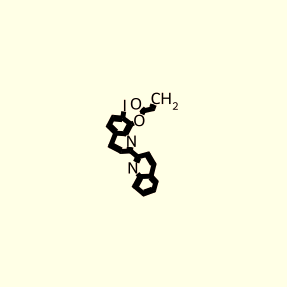 C=CC(=O)Oc1c(I)ccc2ccc(-c3ccc4ccccc4n3)nc12